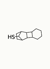 SC1C2CCC1C1C3CCCCC3C21